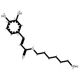 CCCCCCCCCCCCCCCCOC(=O)C=Cc1ccc(O)c(O)c1